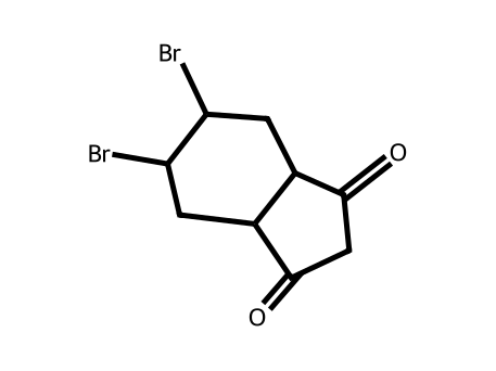 O=C1CC(=O)C2CC(Br)C(Br)CC12